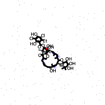 CCc1c(Cl)c(O)c(Cl)c(O)c1C(=O)O[C@@H]1[C@@H](O)[C@@H](C)[C@@H](OC/C2=C\C=C\C[C@H](O)/C(C)=C/[C@H](CC)C(O[C@@H]3OC(C)(C)C(O)[C@H](O)[C@@H]3O)/C(C)=C/C(C)=C/CC([C@@H](C)O)OC2=O)O[C@H]1C